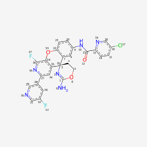 NC1=N[C@@]2(CCO1)c1cc(NC(=O)c3ccc(Cl)cn3)ccc1Oc1c2cc(-c2cncc(F)c2)nc1F